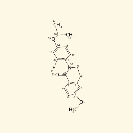 COc1ccc2c(c1)CCN(c1ccc(OC(C)C)cc1F)C2=O